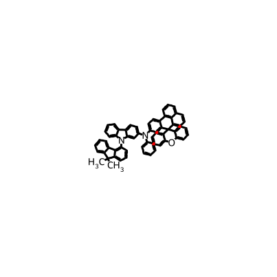 CC1(C)c2ccccc2-c2c(-n3c4ccccc4c4ccc(N(c5ccccc5)c5ccc6c(c5)C5(c7ccccc7Oc7ccccc75)c5cccc7cccc-6c57)cc43)cccc21